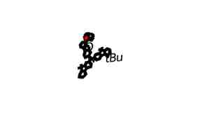 CC(C)(C)c1cccc2c1-c1ccc(N(c3ccc4c(c3)C(C)(C)c3ccccc3-4)c3ccc4c(c3)oc3c(C56CC7CC(CC(C7)C5)C6)cccc34)cc1C2(C)C